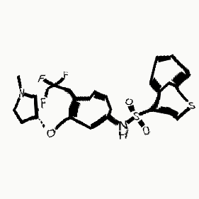 CN1CC[C@@H](Oc2cc(NS(=O)(=O)c3csc4ccccc34)ccc2C(F)(F)F)C1